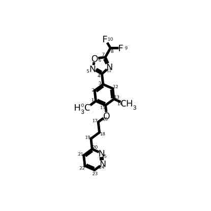 Cc1cc(-c2noc(C(F)F)n2)cc(C)c1OCCCc1cccnn1